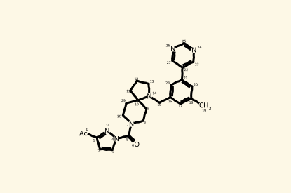 CC(=O)c1ccn(C(=O)N2CCC3(CCCN3Cc3cc(C)cc(-c4cncnc4)c3)CC2)n1